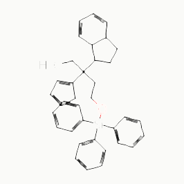 CCC(CCO[Si](c1ccccc1)(c1ccccc1)c1ccccc1)(C1=CC=CC1)C1CCC2C=CC=CC21